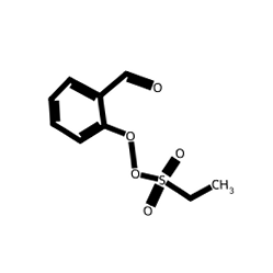 CCS(=O)(=O)OOc1ccccc1C=O